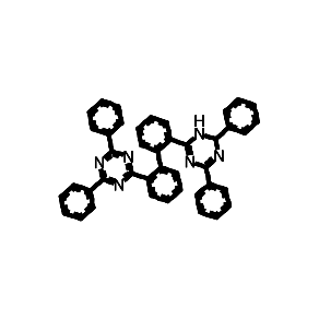 c1ccc(C2=NC(c3ccccc3)NC(c3ccccc3-c3ccccc3-c3nc(-c4ccccc4)nc(-c4ccccc4)n3)=N2)cc1